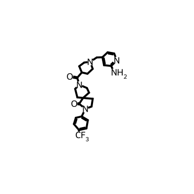 Nc1cc(CN2CCC(C(=O)N3CCC4(CC3)CCN(c3ccc(C(F)(F)F)cc3)C4=O)CC2)ccn1